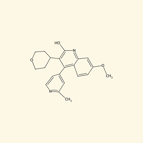 COc1ccc2c(-c3ccnc(C)c3)c(C3CCOCC3)c(O)nc2c1